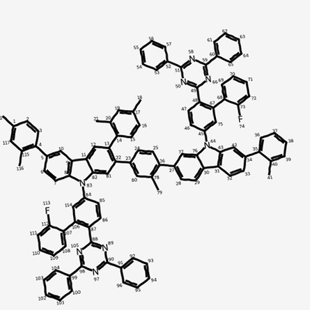 Cc1ccc(-c2ccc3c(c2)c2cc(-c4ccc(C)cc4C)c(-c4ccc(-c5ccc6c7ccc(-c8ccccc8C)cc7n(-c7ccc(-c8nc(-c9ccccc9)nc(-c9ccccc9)n8)c(-c8ccccc8F)c7)c6c5)c(C)c4)cc2n3-c2ccc(-c3nc(-c4ccccc4)nc(-c4ccccc4)n3)c(-c3ccccc3F)c2)c(C)c1